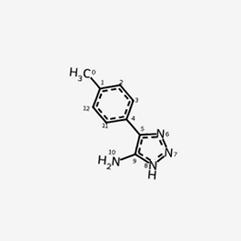 Cc1ccc(-c2nn[nH]c2N)cc1